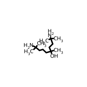 CC(C)(N)CCCC(C)(O)CCC(C)(C)N